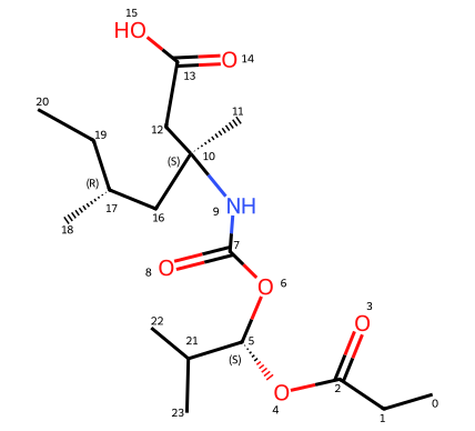 CCC(=O)O[C@@H](OC(=O)N[C@](C)(CC(=O)O)C[C@H](C)CC)C(C)C